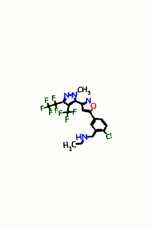 CCNCc1cc(-c2cc(-c3c(C(F)(F)F)c(C(F)(F)C(F)(F)F)nn3C)no2)ccc1Cl